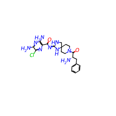 Nc1nc(N)c(C(=O)/N=C2\NCC3(CCN(C(=O)[C@@H](N)Cc4ccccc4)CC3)N2)nc1Cl